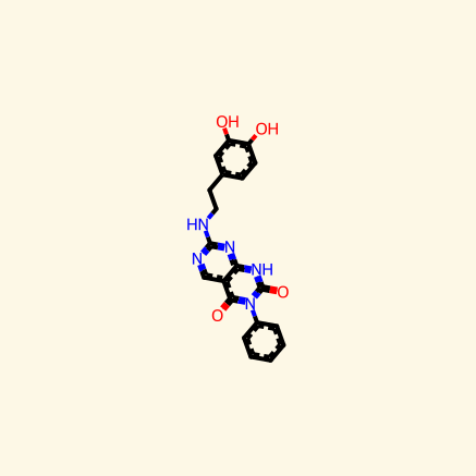 O=c1[nH]c2nc(NCCc3ccc(O)c(O)c3)ncc2c(=O)n1-c1ccccc1